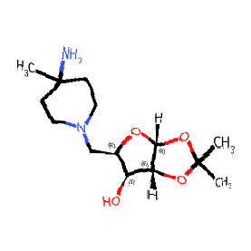 CC1(N)CCN(C[C@H]2O[C@@H]3OC(C)(C)O[C@@H]3[C@H]2O)CC1